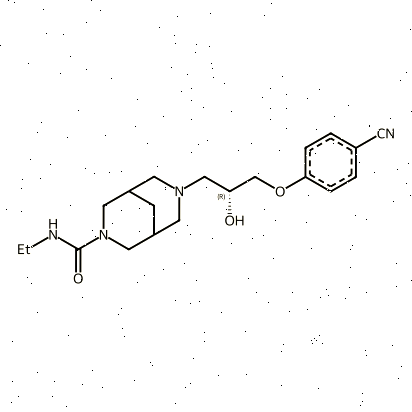 CCNC(=O)N1CC2CC(CN(C[C@@H](O)COc3ccc(C#N)cc3)C2)C1